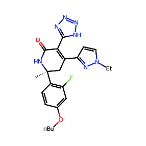 CCCCOc1ccc([C@]2(C)CC(c3ccn(CC)n3)=C(c3nnn[nH]3)C(=O)N2)c(F)c1